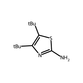 CC(C)(C)c1nc(N)sc1C(C)(C)C